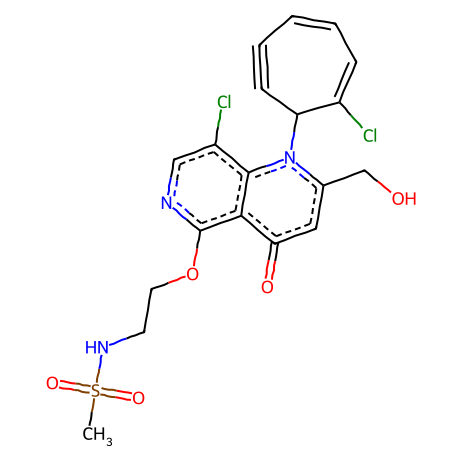 CS(=O)(=O)NCCOc1ncc(Cl)c2c1c(=O)cc(CO)n2C1C#CC=CC=C1Cl